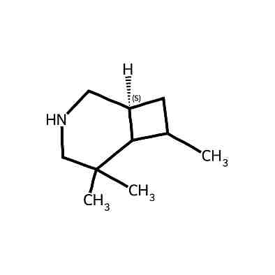 CC1C[C@@H]2CNCC(C)(C)C12